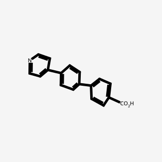 O=C(O)c1ccc(-c2ccc(-c3ccncc3)cc2)cc1